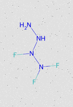 NNN(F)N(F)F